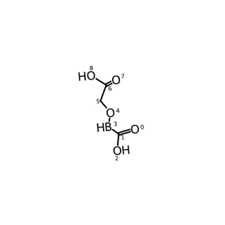 O=C(O)BOCC(=O)O